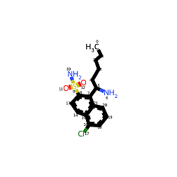 CCCCCC(N)c1c(S(N)(=O)=O)ccc2c(Cl)cccc12